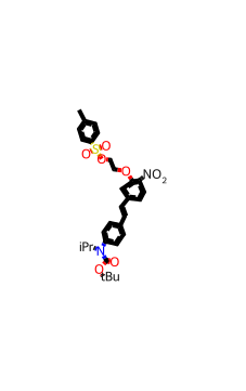 Cc1ccc(S(=O)(=O)OCCOc2cc(/C=C/c3ccc(N(C(=O)OC(C)(C)C)C(C)C)cc3)ccc2[N+](=O)[O-])cc1